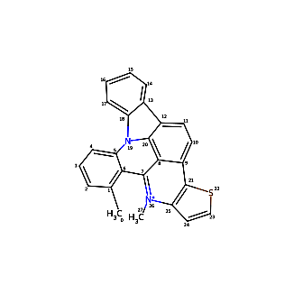 Cc1cccc2c1c1c3c(ccc4c5ccccc5n2c43)c2sccc2[n+]1C